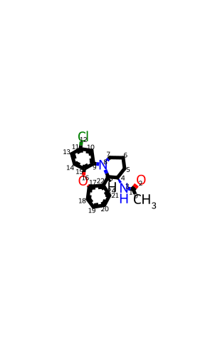 CC(=O)N[C@@H]1CCCN2c3cc(Cl)ccc3Oc3ccccc3[C@@H]12